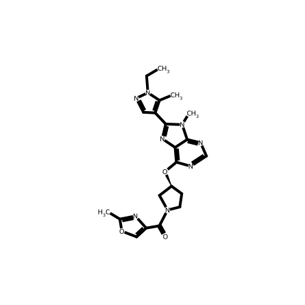 CCn1ncc(-c2nc3c(O[C@H]4CCN(C(=O)c5coc(C)n5)C4)ncnc3n2C)c1C